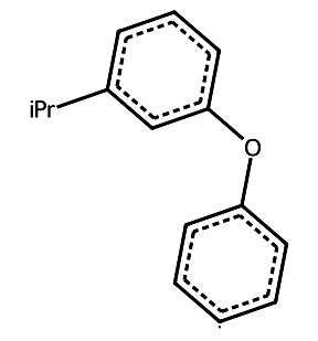 CC(C)c1cccc(Oc2cc[c]cc2)c1